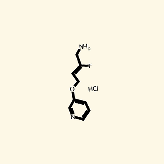 Cl.NCC(F)=CCOc1cccnc1